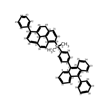 C[Si](C)(c1ccc(-c2c3ccccc3c(-c3ccccc3)c3ccccc23)cc1)c1ccc2c3c1C=CC1=CC=C(c4ccccc4)C(=CC2)C13